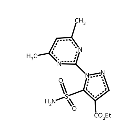 CCOC(=O)c1cnn(-c2nc(C)cc(C)n2)c1S(N)(=O)=O